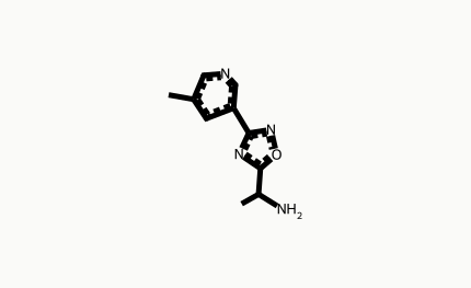 Cc1cncc(-c2noc(C(C)N)n2)c1